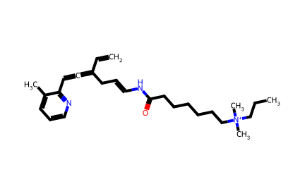 C=CC(=C=Cc1ncccc1C)C/C=C/NC(=O)CCCCCC[N+](C)(C)CCC